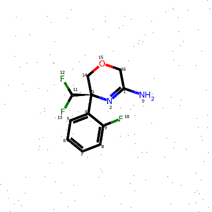 NC1=N[C@@](c2c[c]ccc2F)(C(F)F)COC1